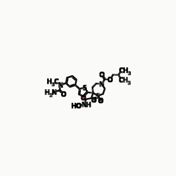 CC(C)COC(=O)N1CCC(CC(=O)NO)(c2ccc(-c3cccc(N(C)C(N)=O)c3)s2)S(=O)(=O)CC1